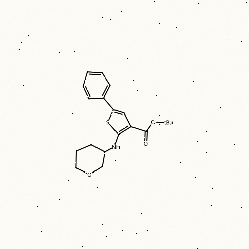 CC(C)(C)OC(=O)c1cc(-c2ccccc2)sc1NC1CCCOC1